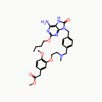 CCCCOc1nc(N)c2[nH]c(=O)n(Cc3ccc(CN(C)CCOc4cc(CC(=O)OC)ccc4OC)cc3)c2n1